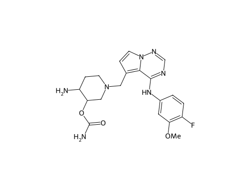 COc1cc(Nc2ncnn3ccc(CN4CCC(N)C(OC(N)=O)C4)c23)ccc1F